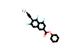 O=C(Oc1ccccc1)c1cc(F)c2c(F)c(C#CC(F)(F)F)c(F)cc2c1